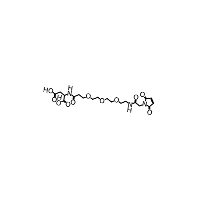 O=C(O)CC(NC(=O)CCOCCOCCOCCNC(=O)CN1C(=O)C=CC1=O)C(=O)O